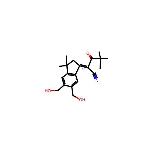 CC(C)(C)C(=O)/C(C#N)=C1\CC(C)(C)c2cc(CO)c(CO)cc21